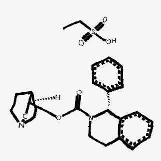 CCS(=O)(=O)O.O=C(O[C@H]1CN2CCC1CC2)N1CCc2ccccc2[C@H]1c1ccccc1